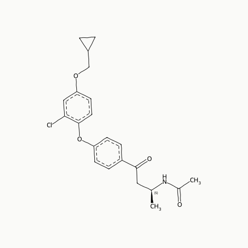 CC(=O)N[C@@H](C)CC(=O)c1ccc(Oc2ccc(OCC3CC3)cc2Cl)cc1